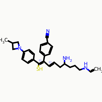 C=CNCCCC(N)C/C=C/C(=C(\S)c1ccc(N2CC(C)C2)cc1)c1ccc(C#N)cc1